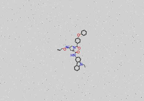 C=CCO/N=C1\C[C@@H](C(=O)Nc2ccc3c(c2)c2ccccc2n3CC)N(C(=O)c2ccc(Oc3ccccc3)cc2)C1